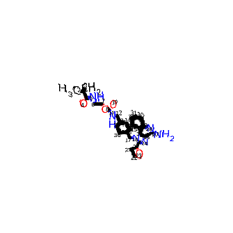 C=C(C)C(=O)NCCOC(=O)NCc1ccc(Cn2c(C3CCO3)nc3c(N)nc4ccccc4c32)cc1